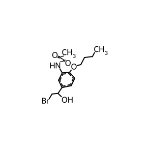 CCCCOc1ccc(C(O)CBr)cc1NS(C)(=O)=O